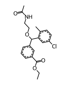 CCOC(=O)c1cccc(C(OCCNC(C)=O)c2cc(Cl)ccc2C)c1